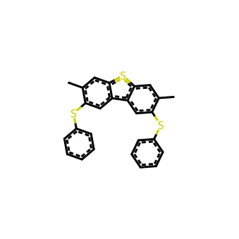 Cc1cc2sc3cc(C)c(Sc4ccccc4)cc3c2cc1Sc1ccccc1